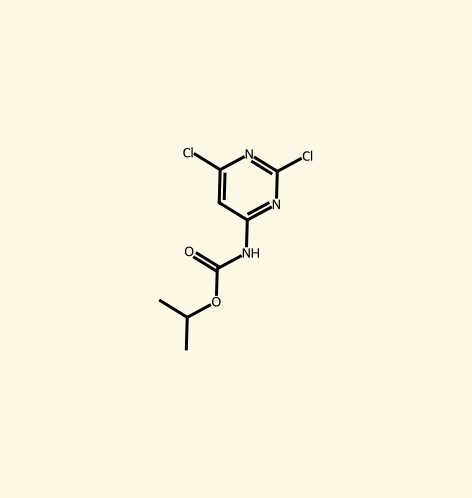 CC(C)OC(=O)Nc1cc(Cl)nc(Cl)n1